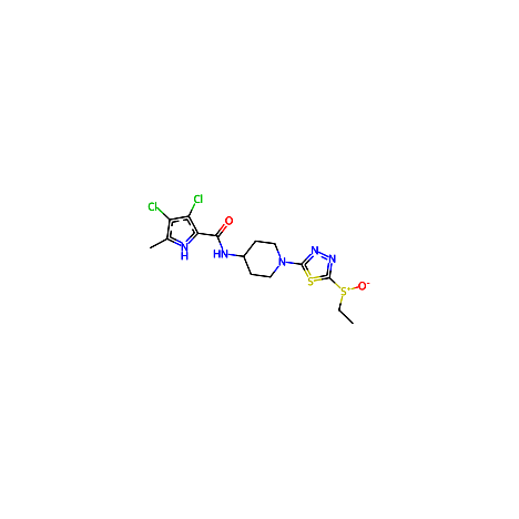 CC[S+]([O-])c1nnc(N2CCC(NC(=O)c3[nH]c(C)c(Cl)c3Cl)CC2)s1